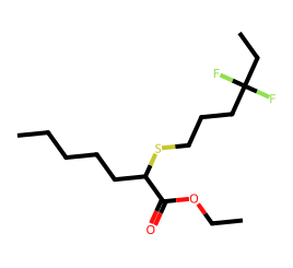 CCCCCC(SCCCC(F)(F)CC)C(=O)OCC